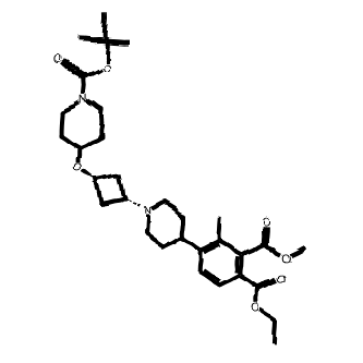 CCOC(=O)c1ccc(C2CCN([C@H]3C[C@H](OC4CCN(C(=O)OC(C)(C)C)CC4)C3)CC2)c(C)c1C(=O)OC